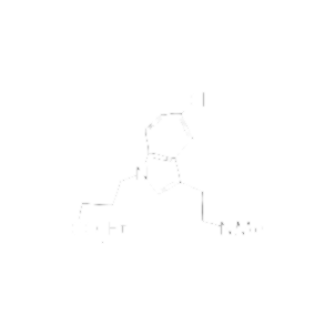 CCOC(=O)CCCn1cc(CCNC)c2cc(Cl)ccc21